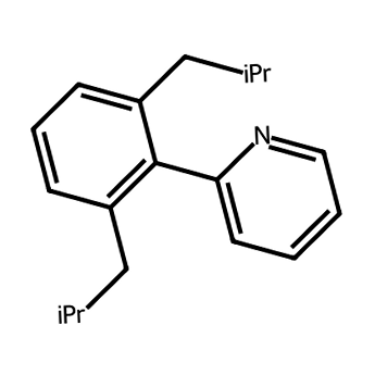 CC(C)Cc1cccc(CC(C)C)c1-c1ccccn1